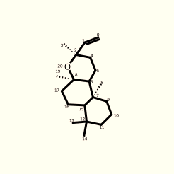 C=C[C@@]1(C)CCC2[C@@]3(C)CCCC(C)(C)C3CC[C@@]2(C)O1